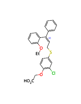 CCOc1ccccc1/C(=C\CSc1ccc(OCC(=O)O)c(Cl)c1)c1ccccc1